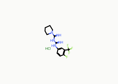 Cl.N=C(NC(=N)N1CCCCC1)Nc1ccc(F)c(C(F)(F)F)c1